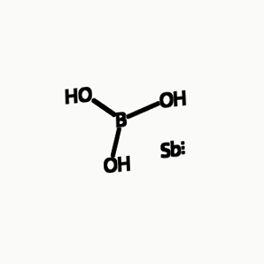 OB(O)O.[Sb]